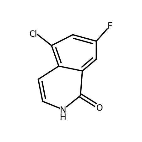 O=c1[nH]ccc2c(Cl)cc(F)cc12